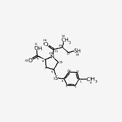 Cc1ccc(SC2C[C@@H](C(=O)O)N(C(=O)C(C)CS)C2)cc1